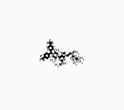 C[C@@H]1CN(c2nc(NN)nc3c2ncn3CCN(C)C(=O)OC(C)(C)C)[C@@H](C)CN1C(c1ccc(C(F)(F)F)cc1)c1ccc(C(F)(F)F)cn1